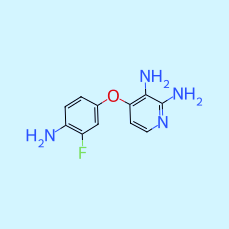 Nc1ccc(Oc2ccnc(N)c2N)cc1F